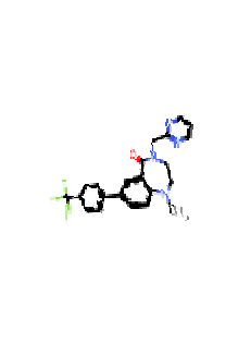 CN1CCN(Cc2ncccn2)C(=O)c2cc(-c3ccc(C(F)(F)F)cc3)ccc21